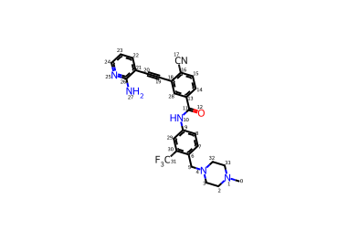 CN1CCN(Cc2ccc(NC(=O)c3ccc(C#N)c(C#Cc4cccnc4N)c3)cc2C(F)(F)F)CC1